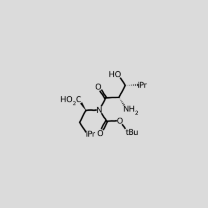 CC(C)C[C@@H](C(=O)O)N(C(=O)OC(C)(C)C)C(=O)[C@@H](N)[C@H](O)C(C)C